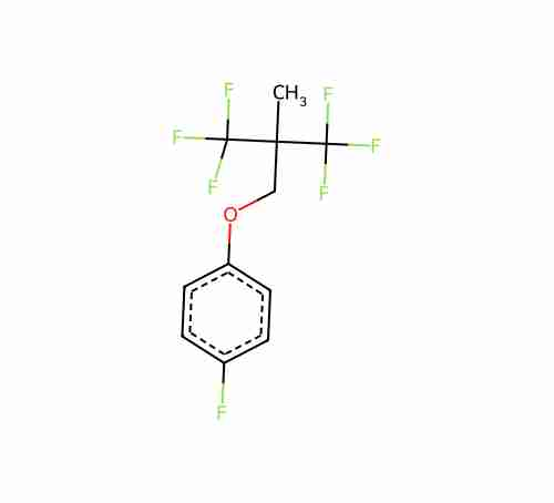 CC(COc1ccc(F)cc1)(C(F)(F)F)C(F)(F)F